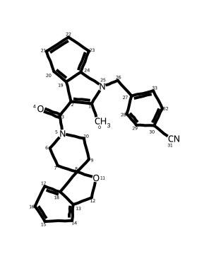 Cc1c(C(=O)N2CCC3(CC2)OCc2ccccc23)c2ccccc2n1Cc1ccc(C#N)cc1